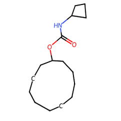 O=C(NC1CCC1)OC1CCCCCCCCCC1